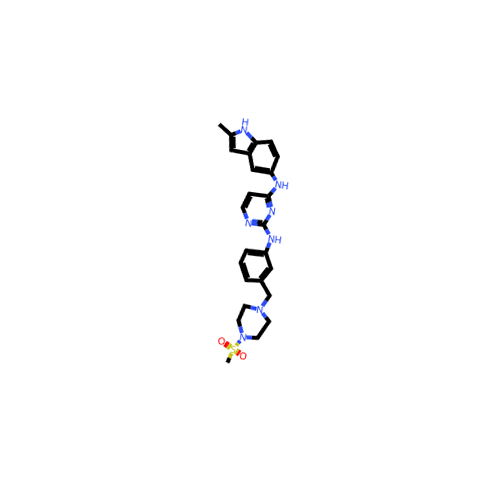 Cc1cc2cc(Nc3ccnc(Nc4cccc(CN5CCN(S(C)(=O)=O)CC5)c4)n3)ccc2[nH]1